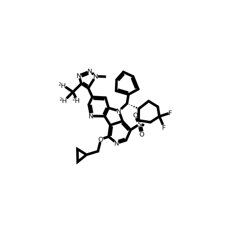 [2H]C([2H])([2H])c1nnn(C)c1-c1cnc2c3c(OCC4CC4)ncc(S(C)(=O)=O)c3n([C@H](c3ccccc3)C3CCC(F)(F)CC3)c2c1